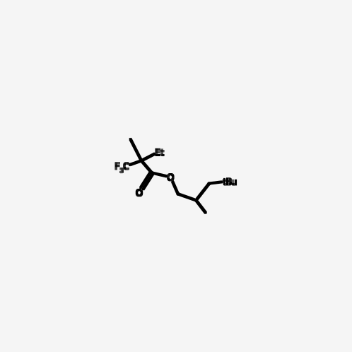 CCC(C)(C(=O)OCC(C)CC(C)(C)C)C(F)(F)F